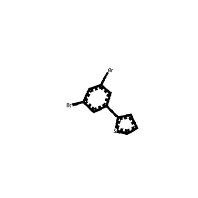 Brc1cc(Br)cc(-c2c[c]cs2)c1